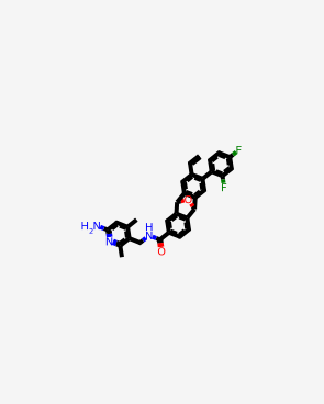 C=Cc1cc2c(cc1-c1ccc(F)cc1F)C1OC2c2cc(C(=O)NCc3c(C)cc(N)nc3C)ccc21